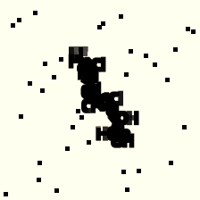 O=P(O)(O)OC[C@H](O)COc1cc(Cl)c(-c2noc(-c3cn4cc(C(F)(F)F)cc(Cl)c4n3)n2)cc1Cl